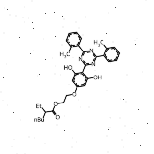 CCCCC(CC)C(=O)OCCOc1cc(O)c(-c2nc(-c3ccccc3C)nc(-c3ccccc3C)n2)c(O)c1